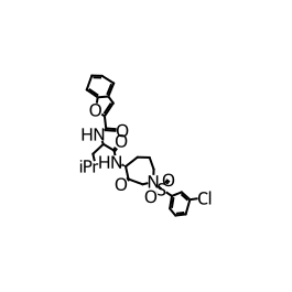 CC(C)CC(NC(=O)c1cc2ccccc2o1)C(=O)N[C@H]1CCCN(S(=O)(=O)c2cccc(Cl)c2)CC1=O